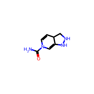 NC(=O)N1C=CC2CNNC2=C1